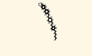 CCCCCCc1ccc(CCC2CCC(CCc3ccc(-c4ccc(Cl)cc4)cc3)CC2)cc1